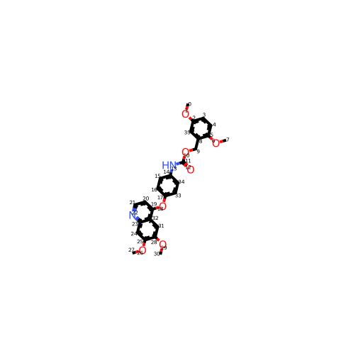 COc1ccc(OC)c(COC(=O)Nc2ccc(Oc3ccnc4cc(OC)c(OC)cc34)cc2)c1